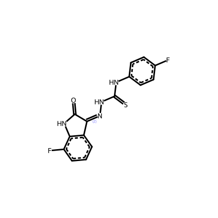 O=C1Nc2c(F)cccc2/C1=N/NC(=S)Nc1ccc(F)cc1